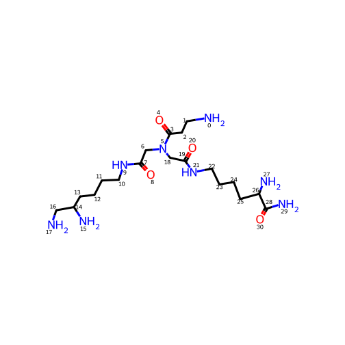 NCCC(=O)N(CC(=O)NCCCCC(N)CN)CC(=O)NCCCCC(N)C(N)=O